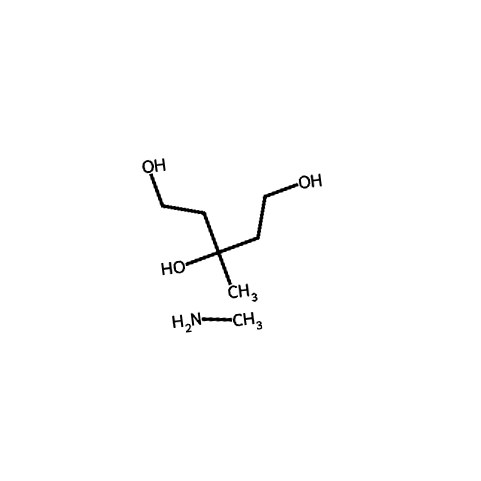 CC(O)(CCO)CCO.CN